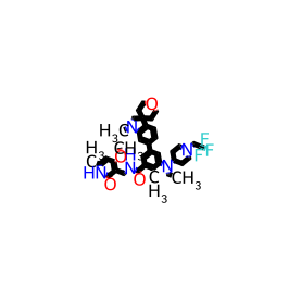 CCN(c1cc(-c2ccc3c(c2)N(C)CC32CCOCC2)cc(C(=O)NCc2c(OC)cc(C)[nH]c2=O)c1C)C1CCN(CC(F)(F)F)CC1